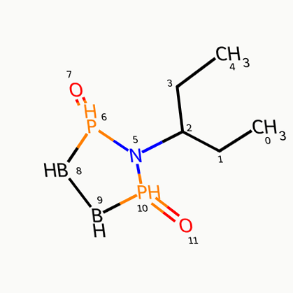 CCC(CC)N1[PH](=O)BB[PH]1=O